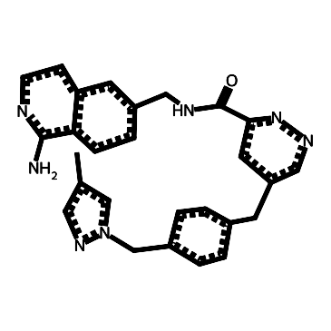 Cc1cnn(Cc2ccc(Cc3cnnc(C(=O)NCc4ccc5c(N)nccc5c4)c3)cc2)c1